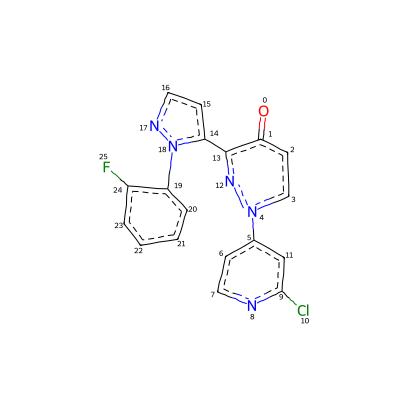 O=c1ccn(-c2ccnc(Cl)c2)nc1-c1ccnn1-c1ccccc1F